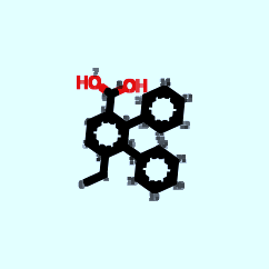 CCc1ccc(C(O)O)c(-c2ccccc2)c1-c1ccccc1